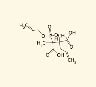 C=CCOP(=O)(O)C(C)(C(=O)O)C(C)(CC=C)C(=O)O